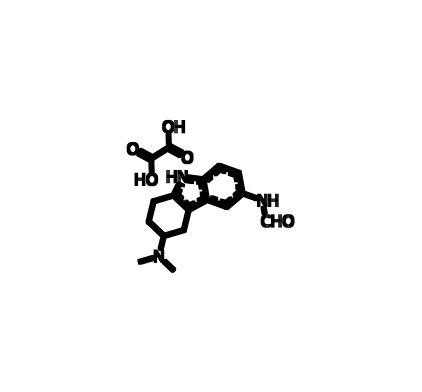 CN(C)C1CCc2[nH]c3ccc(NC=O)cc3c2C1.O=C(O)C(=O)O